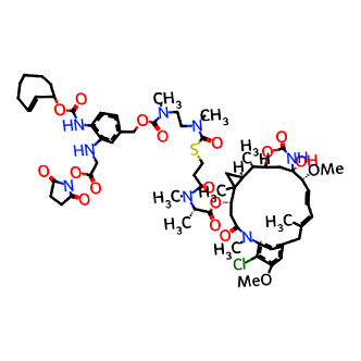 COc1cc2cc(c1Cl)N(C)C(=O)C[C@H](OC(=O)[C@H](C)N(C)C(=O)CCSC(=O)N(C)CCN(C)C(=O)OCc1ccc(NC(=O)OC3/C=C/CCCCC3)c(NCC(=O)ON3C(=O)CCC3=O)c1)C1(C)C[C@H]1[C@H](C)[C@@H]1C[C@@](O)(NC(=O)O1)[C@H](OC)/C=C/C=C(\C)C2